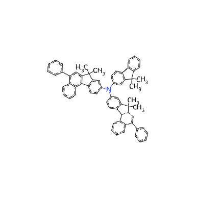 CC1(C)c2ccccc2-c2ccc(N(c3ccc4c(c3)C(C)(C)c3cc(-c5ccccc5)c5ccccc5c3-4)c3ccc4c(c3)C(C)(C)C3C=C(c5ccccc5)c5ccccc5C43)cc21